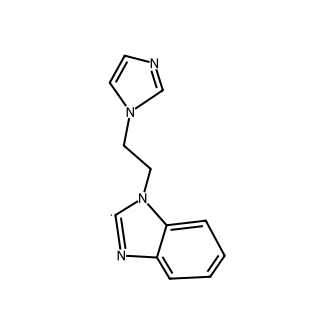 [c]1nc2ccccc2n1CCn1ccnc1